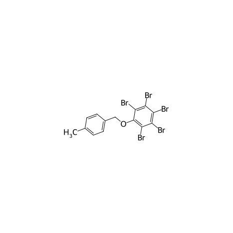 Cc1ccc(COc2c(Br)c(Br)c(Br)c(Br)c2Br)cc1